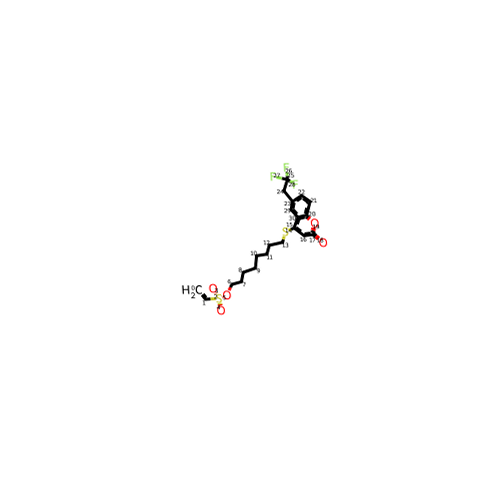 C=CS(=O)(=O)OCCCCCCCCSc1cc(=O)oc2ccc(CC(F)(F)F)cc12